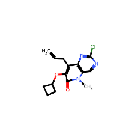 C=CCc1c(OC2CCC2)c(=O)n(C)c2cnc(Cl)nc12